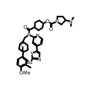 COc1ccc(C23CCC(CN(C(=O)C4CCC(OC(=O)N5CCC(N(C)C)C5)CC4)c4cc(-c5cnc(C(C)(C)C)s5)ccn4)(CC2)CC3)cc1C